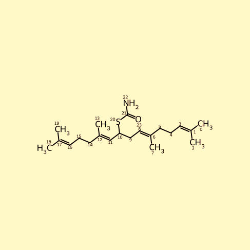 CC(C)=CCC/C(C)=C/CC(/C=C(\C)CCC=C(C)C)SC(N)=O